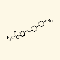 CCCCC1CCC(C2CCC(CCc3ccc(OC(F)C(F)(F)F)cc3)CC2)CC1